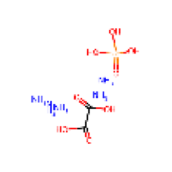 N.N.N.N.N.O=C(O)C(=O)O.O=P(O)(O)O